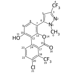 Cn1nc(C(F)(F)F)cc1-c1ccc(O)c2c1oc(=O)c1c(C(F)(F)F)c(Cl)ccc12